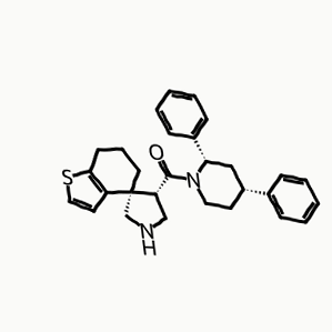 O=C([C@@H]1CNC[C@]12CCCc1sccc12)N1CC[C@@H](c2ccccc2)C[C@H]1c1ccccc1